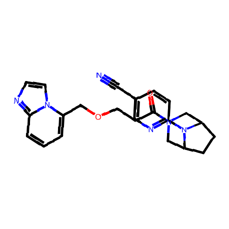 N#Cc1ccc(N2C3CCC2CN(C(=O)CCOCc2cccc4nccn24)C3)nc1